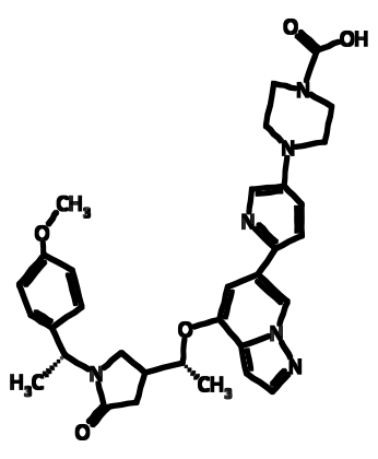 COc1ccc([C@@H](C)N2CC([C@@H](C)Oc3cc(-c4ccc(N5CCN(C(=O)O)CC5)cn4)cn4nccc34)CC2=O)cc1